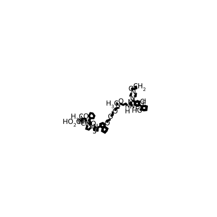 C=CC(=O)N1CCN(c2nc(NCCC(=O)N(C)CCOCCOCCOc3ccc(-c4csc([C@@H]5CCCN5C(=O)[C@@H](NC(=O)[C@H](C)N(C)C(=O)O)C5CCCCC5)n4)c4ccccc34)nc3c(F)c(-c4c(O)cccc4F)c(Cl)cc23)CC1